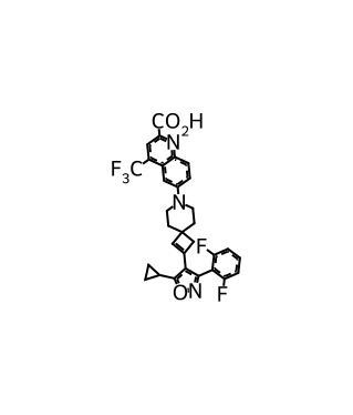 O=C(O)c1cc(C(F)(F)F)c2cc(N3CCC4(C=C(c5c(-c6c(F)cccc6F)noc5C5CC5)C4)CC3)ccc2n1